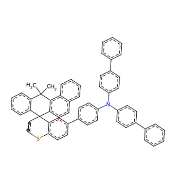 CC1(C)c2ccccc2C2(c3ccccc3Sc3ccc(-c4ccc(N(c5ccc(-c6ccccc6)cc5)c5ccc(-c6ccccc6)cc5)cc4)cc32)c2ccc3ccccc3c21